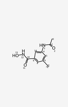 CC(=O)Nc1cc(F)cc(C(=O)NO)c1